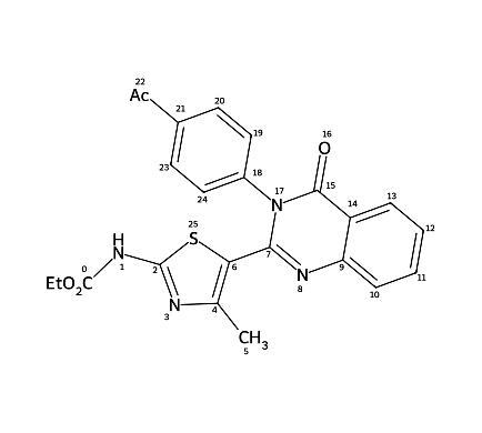 CCOC(=O)Nc1nc(C)c(-c2nc3ccccc3c(=O)n2-c2ccc(C(C)=O)cc2)s1